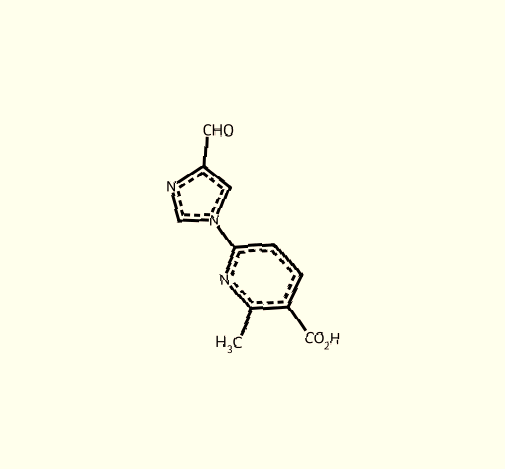 Cc1nc(-n2cnc(C=O)c2)ccc1C(=O)O